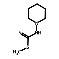 CSC(=S)NN1CCCCC1